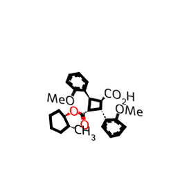 COc1ccccc1[C@H]1[C@H](C(=O)O)[C@H](c2ccccc2OC)[C@H]1C(=O)O[C@@H]1CCCC[C@H]1C